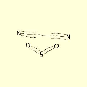 N#CC#N.O=S=O